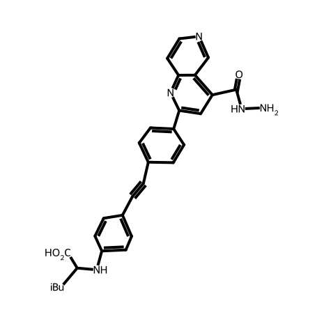 CCC(C)C(Nc1ccc(C#Cc2ccc(-c3cc(C(=O)NN)c4cnccc4n3)cc2)cc1)C(=O)O